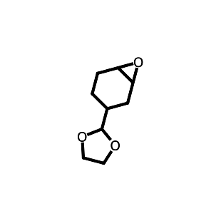 C1COC(C2CCC3OC3C2)O1